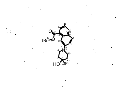 CC(C)C1(O)CCN(c2ccc3nccc(C(=O)OC(C)(C)C)c3c2)CC1